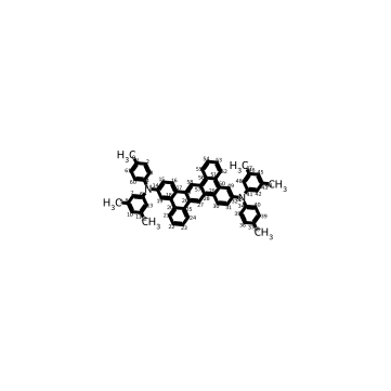 Cc1ccc(N(c2cc(C)cc(C)c2)c2ccc3c(c2)c2ccccc2c2cc4c5ccc(N(c6ccc(C)cc6)c6cc(C)cc(C)c6)cc5c5ccccc5c4cc32)cc1